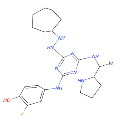 CCC(Nc1nc(NNC2CCCCCC2)nc(Nc2ccc(O)c(F)c2)n1)C1CCCN1